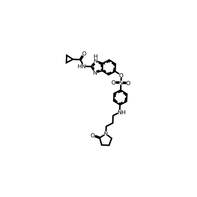 O=C(Nc1nc2cc(OS(=O)(=O)c3ccc(NCCCN4CCCC4=O)cc3)ccc2[nH]1)C1CC1